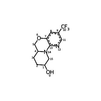 OC1CCC2COc3cc(C(F)(F)F)cnc3N2C1